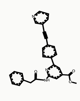 COC(=O)c1cc(NC(=O)Cc2ccccc2)nc(-c2ccc(C#Cc3cccnc3)cc2)c1